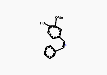 COc1cc(/C=C\c2ccccc2)ccc1O